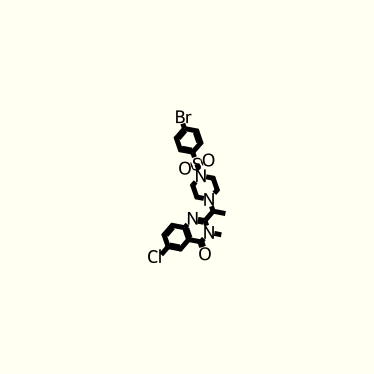 CC(c1nc2ccc(Cl)cc2c(=O)n1C)N1CCN(S(=O)(=O)c2ccc(Br)cc2)CC1